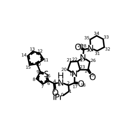 CC(C)CC(NC(=O)c1ccc(-c2ccccc2)s1)C(=O)N1CCC2C1C(=O)CN2C(=O)N1CCCCC1